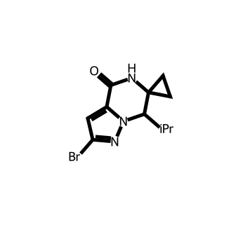 CC(C)C1n2nc(Br)cc2C(=O)NC12CC2